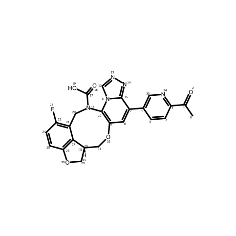 CC(=O)c1ccc(-c2cc3c(n4cnnc24)N(C(=O)O)Cc2c(F)ccc4c2[C@@H](CO4)CO3)cn1